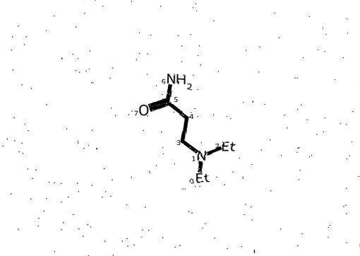 CCN(CC)CCC(N)=O